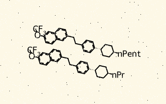 CCCCC[C@H]1CC[C@H](c2ccc(CCc3ccc4cc(OC(F)(F)F)ccc4c3)cc2)CC1.CCC[C@H]1CC[C@H](c2ccc(CCc3ccc4cc(OC(F)(F)F)ccc4c3)cc2)CC1